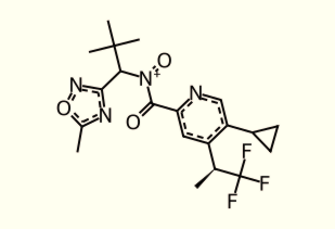 Cc1nc(C([N+](=O)C(=O)c2cc([C@H](C)C(F)(F)F)c(C3CC3)cn2)C(C)(C)C)no1